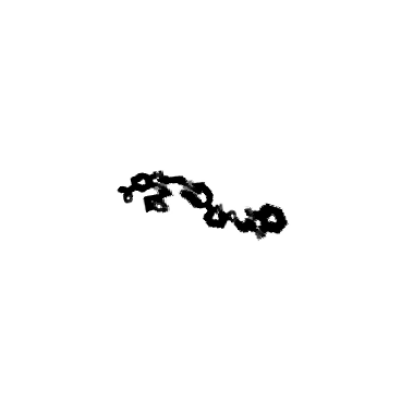 CC(=O)c1ccc2nc(CN3CCC(c4cccc(OCc5nc6ccccc6s5)n4)CC3)n(C[C@@H]3CCO3)c2c1